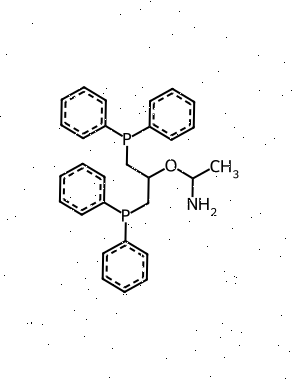 CC(N)OC(CP(c1ccccc1)c1ccccc1)CP(c1ccccc1)c1ccccc1